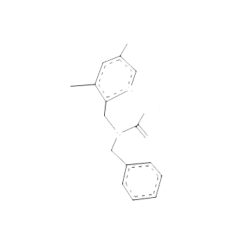 CCOC(=O)C(=O)N(Cc1ccccc1)Cc1ncc(F)cc1C